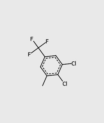 Cc1cc(C(F)(F)F)cc(Cl)c1Cl